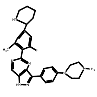 Cc1cc(C2CCCCN2)cc(F)c1-c1ncc2[nH]nc(-c3ccc(N4CCN(C)CC4)cc3)c2n1